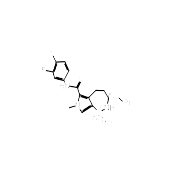 CC(C)C[C@H]1CCc2c(cn(C)c2C(=O)Nc2ccc(F)c(F)c2)S(=N)(=O)N1